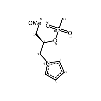 COC[C@H](Cn1cccc1)OS(C)(=O)=O